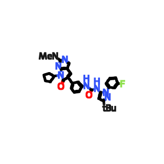 CNc1ncc2cc(-c3cccc(NC(=O)Nc4cc(C(C)(C)C)nn4-c4cccc(F)c4)c3)c(=O)n(C3CCCC3)c2n1